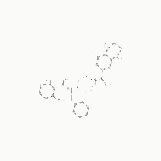 Cc1cc(C(=O)N2CC[C@@H](NC(=O)c3ncccc3C(F)(F)F)[C@@H](c3ccccc3)C2)cc2nccnc12